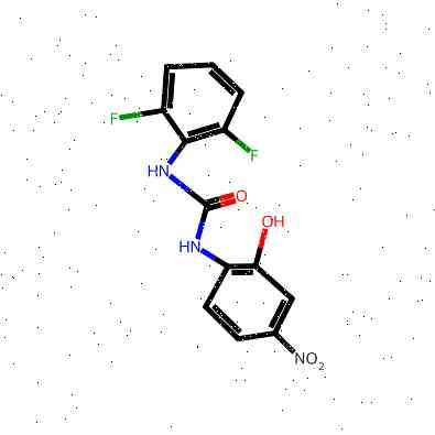 O=C(Nc1ccc([N+](=O)[O-])cc1O)Nc1c(F)cccc1F